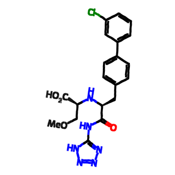 COC[C@H](N[C@@H](Cc1ccc(-c2cccc(Cl)c2)cc1)C(=O)Nc1nnn[nH]1)C(=O)O